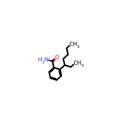 CCCCC(CC)c1ccccc1C(N)=O